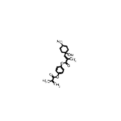 C=C(C)C(=O)Oc1ccc(OC(=O)C(C)=CC2(O)CCC(O)CC2)cc1